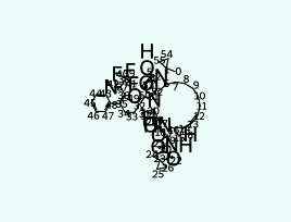 CC1(N(C(=O)O)[C@H]2CCCCC/C=C\[C@@H]3C[C@@]3(C(=O)NS(=O)(=O)C3(C)CC3)NC(=O)[C@@H]3C[C@]4(CCc5c(c(C(F)(F)F)nc6ccccc56)O4)CN3C2=O)CC1